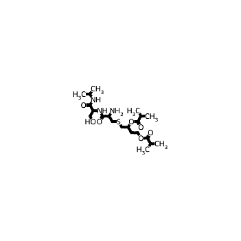 CC(C)NC(=O)C(CO)NC(=O)C(N)CSCC(CCOC(=O)C(C)C)OC(=O)C(C)C